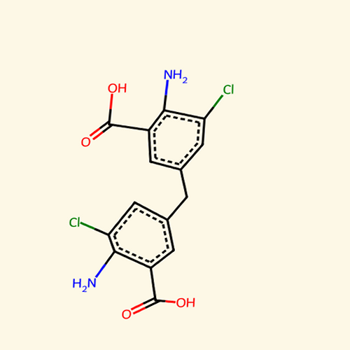 Nc1c(Cl)cc(Cc2cc(Cl)c(N)c(C(=O)O)c2)cc1C(=O)O